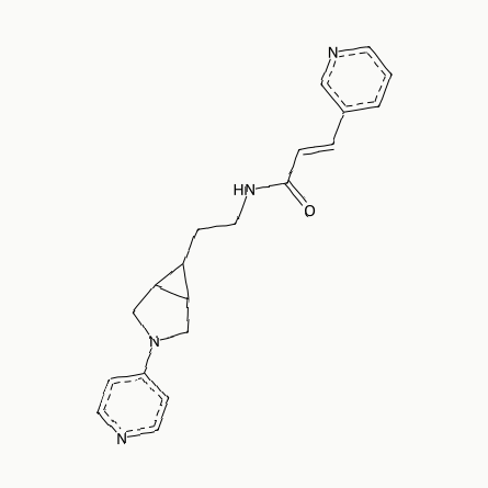 O=C(/C=C/c1cccnc1)NCCC1C2CN(c3ccncc3)CC12